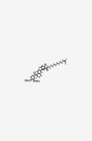 COc1ccc(C(=O)N2CCCc3cc(C4=NN(C(=O)OCCCCCCCCCCN(C)C)C(=O)SC4C)ccc32)cc1OC